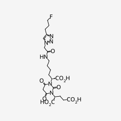 O=C(O)CC[C@@H](C(=O)O)N1C(=O)CC(=O)N([C@@H](CCCCNC(=O)Cn2cc(CCCF)nn2)C(=O)O)C1=O